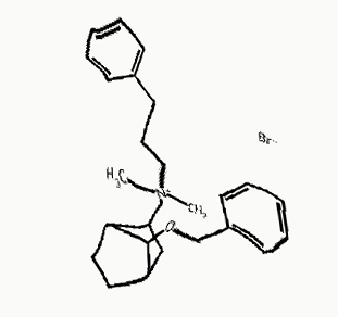 C[N+](C)(CCCc1ccccc1)C1CC2CCC1C2OCc1ccccc1.[Br-]